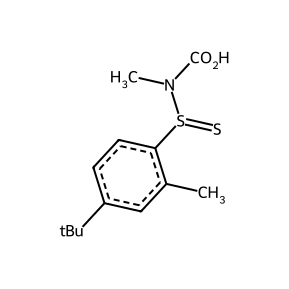 Cc1cc(C(C)(C)C)ccc1S(=S)N(C)C(=O)O